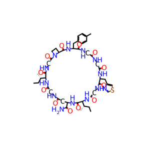 CC[C@H](C)C1NC(=O)CNC(=O)CC(C(N)=O)NC(=O)C([C@@H](C)CC)NC(=O)CNC(=O)C(Cc2cscn2)NC(=O)CNC(=O)CNC(=O)C(Cc2ccc(C)cc2)NC(=O)C2CCN2C(=O)CNC1=O